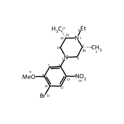 CCN1[C@H](C)CN(c2cc(OC)c(Br)cc2[N+](=O)[O-])C[C@@H]1C